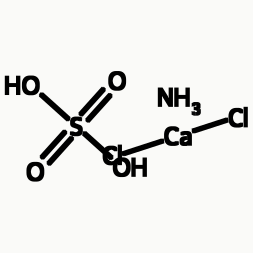 N.O=S(=O)(O)O.[Cl][Ca][Cl]